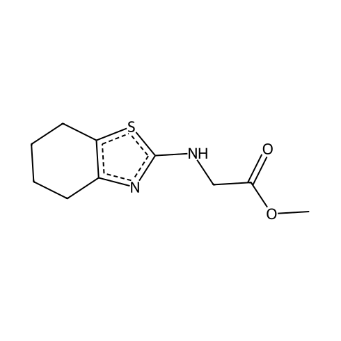 COC(=O)CNc1nc2c(s1)CCCC2